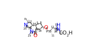 Cc1cc2c3ccc(OC[C@@H](C)CC(C)(C)NC(=O)O)cc3c(=O)n(C)c2cn1